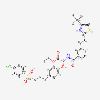 CCOC(=O)C(NC(=O)c1cccc(CCc2nc(C(C)(C)C)cs2)c1)Oc1ccc(CCCS(=O)(=O)c2ccc(Cl)cc2)cc1